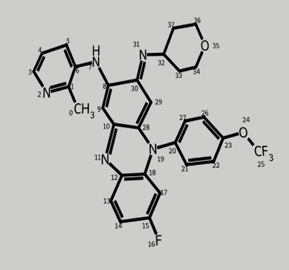 Cc1ncccc1Nc1cc2nc3ccc(F)cc3n(-c3ccc(OC(F)(F)F)cc3)c-2c/c1=N\C1CCOCC1